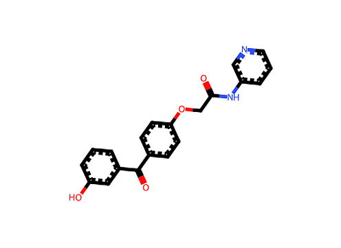 O=C(COc1ccc(C(=O)c2cccc(O)c2)cc1)Nc1cccnc1